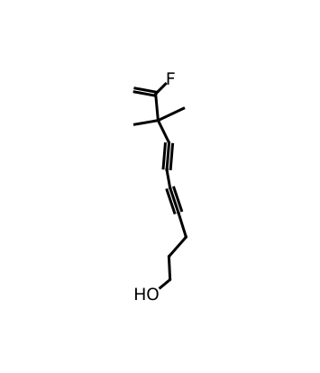 C=C(F)C(C)(C)C#CC#CCCCO